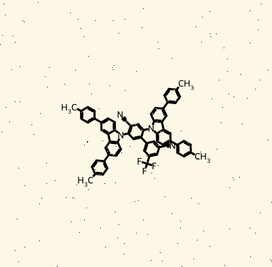 Cc1ccc(-c2ccc3c(c2)c2cc(-c4ccc(C)cc4)ccc2n3-c2cc(-c3cc(C#N)cc(C(F)(F)F)c3)c(-n3c4ccc(-c5ccc(C)cc5)cc4c4cc(-c5ccc(C)cc5)ccc43)cc2C#N)cc1